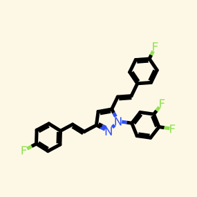 Fc1ccc(C=Cc2cc(C=Cc3ccc(F)cc3)n(-c3ccc(F)c(F)c3)n2)cc1